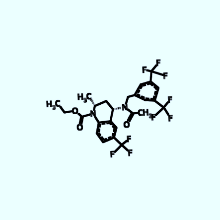 CCOC(=O)N1c2ccc(C(F)(F)F)cc2[C@@H](N(Cc2cc(C(F)(F)F)cc(C(F)(F)F)c2)C(C)=O)C[C@H]1C